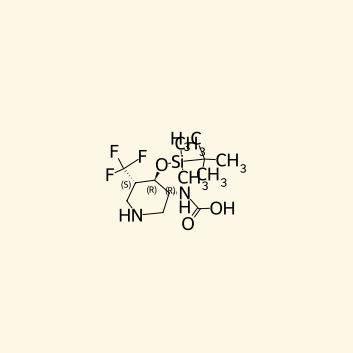 CC(C)(C)[Si](C)(C)O[C@H]1[C@H](NC(=O)O)CNC[C@@H]1C(F)(F)F